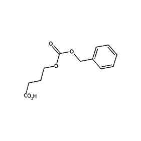 O=C(O)CCCOC(=O)OCc1ccccc1